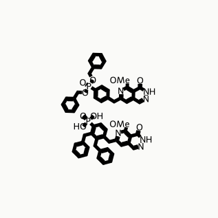 COc1nc(Cc2ccc(P(=O)(O)O)c(Cc3ccccc3)c2Cc2ccccc2)cc2cn[nH]c(=O)c12.COc1nc(Cc2ccc(P(=O)(OCc3ccccc3)OCc3ccccc3)cc2)cc2cn[nH]c(=O)c12